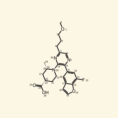 COCCCc1cnc(-c2cc(F)c3occc3c2)c(N2CC[C@H](C(=O)O)C[C@@H]2C)n1